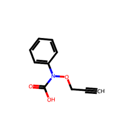 C#CCON(C(=O)O)c1ccccc1